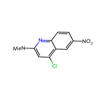 CNc1cc(Cl)c2cc([N+](=O)[O-])ccc2n1